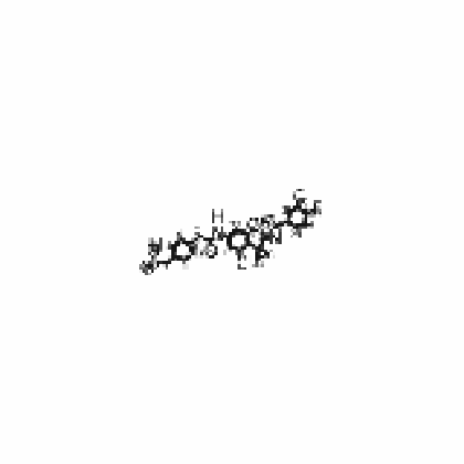 O=C(Cc1ccc(C[SH](=O)=O)cc1)Nc1cc(Cl)c(C2(c3noc(-c4ccc(F)c(Cl)c4)n3)CC2)c(Cl)c1